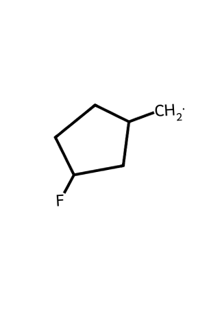 [CH2]C1CCC(F)C1